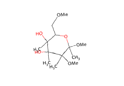 COCC1OC(C)(OC)C(C)(OC)C(C)(O)C1(C)O